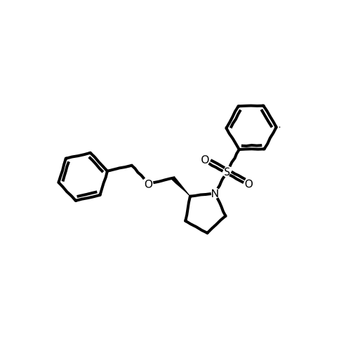 O=S(=O)(c1c[c]ccc1)N1CCC[C@H]1COCc1ccccc1